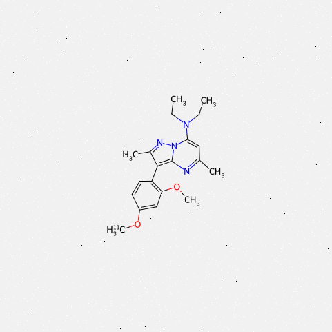 CCN(CC)c1cc(C)nc2c(-c3ccc(O[11CH3])cc3OC)c(C)nn12